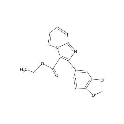 CCOC(=O)c1c(-c2ccc3c(c2)OCO3)nc2ccccn12